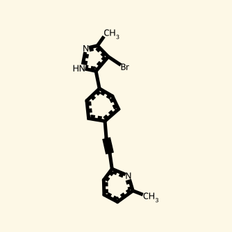 Cc1cccc(C#Cc2ccc(-c3[nH]nc(C)c3Br)cc2)n1